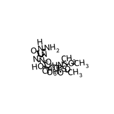 CCOC(=O)[C@@H](C)N[P@](=O)(OC[C@H]1O[C@@H](n2cnc3c(=O)[nH]c(N)nc32)[C@](C)(O)[C@@H]1O)SCC